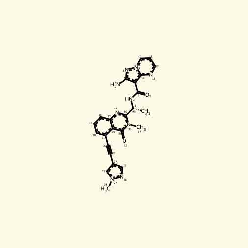 C[C@@H](NC(=O)c1c(N)nn2cccnc12)c1nc2cccc(C#Cc3cnn(C)c3)c2c(=O)n1C